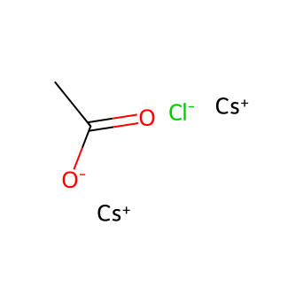 CC(=O)[O-].[Cl-].[Cs+].[Cs+]